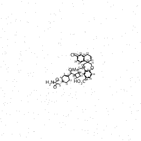 COC(C1=CC[C@@H](CS(N)(=O)=O)CC1)[C@@H]1CC[C@H]1CN1CC2(CCCc3cc(Cl)ccc32)COc2ccc(C(=O)O)cc21